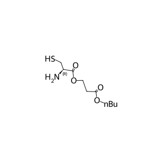 CCCCOC(=O)CCOC(=O)[C@@H](N)CS